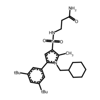 Cc1c(S(=O)(=O)NCCC(N)=O)cc(-c2cc(C(C)(C)C)cc(C(C)(C)C)c2)n1CC1CCCCC1